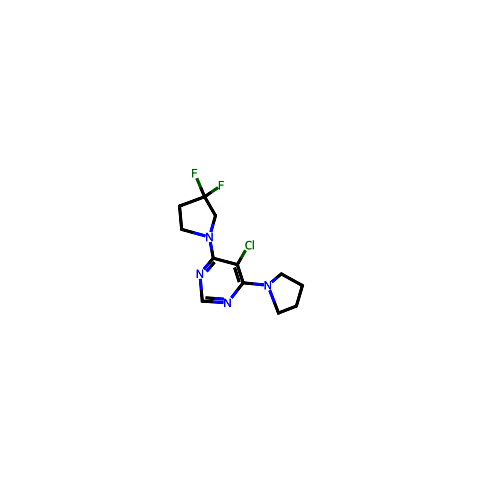 FC1(F)CCN(c2ncnc(N3CCCC3)c2Cl)C1